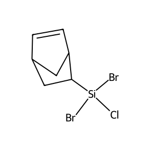 Cl[Si](Br)(Br)C1CC2C=CC1C2